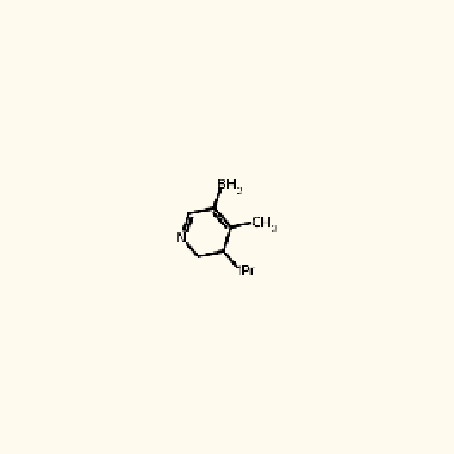 BC1=C(C)C(C(C)C)CN=C1